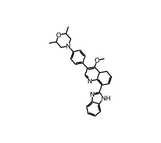 COC1=C(c2ccc(N3CC(C)OC(C)C3)cc2)C=NC2=C(c3nc4ccccc4[nH]3)C=CCC21